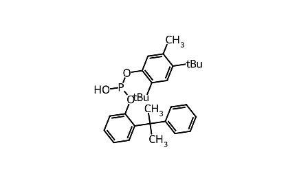 Cc1cc(OP(O)Oc2ccccc2C(C)(C)c2ccccc2)c(C(C)(C)C)cc1C(C)(C)C